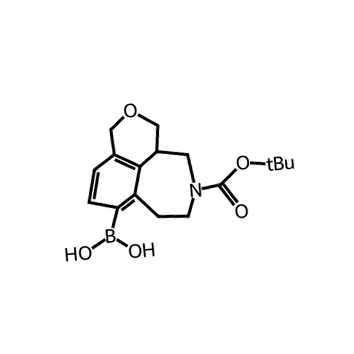 CC(C)(C)OC(=O)N1CCc2c(B(O)O)ccc3c2C(COC3)C1